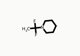 CC(F)(F)N1CC[CH]CC1